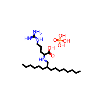 CCCCCCCCC(CCCCCC)CNC(CCCNC(=N)N)C(=O)O.O=P(O)(O)O